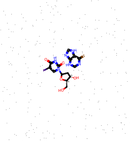 O=c1[nH]c(=O)n(C2C[C@H](O)[C@@H](CO)O2)cc1I.S=c1nc[nH]c2nc[nH]c12